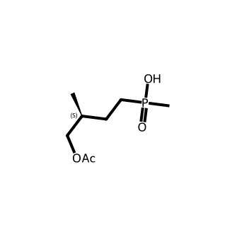 CC(=O)OC[C@@H](C)CCP(C)(=O)O